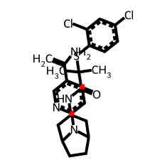 C=C(N)c1ccc(N2C3CCC2CC(NC(=O)C(C)(C)Sc2ccc(Cl)cc2Cl)C3)nc1